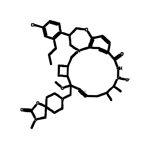 CCCc1cc(Cl)ccc1C1COc2ccc3cc2N(C1)CC1CCC1C(CN1CCC2(CC1)CN(C)C(=O)O2)(OC)/C=C/CC(C)C(C)[S+]([O-])NC3=O